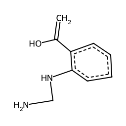 C=C(O)c1ccccc1NCN